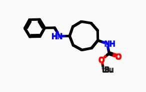 CC(C)(C)OC(=O)NC1CCCCC(NCc2ccccc2)CCC1